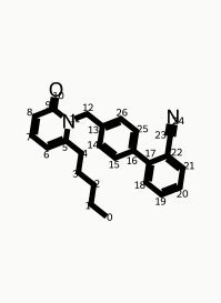 CCCCCc1cccc(=O)n1Cc1ccc(-c2ccccc2C#N)cc1